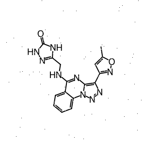 Cc1cc(-c2nnn3c2nc(NCc2n[nH]c(=O)[nH]2)c2ccccc23)no1